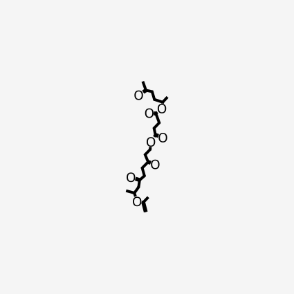 C=C(C)OC(C)CC(=O)CCC(=O)CCOC(=O)CCC(=O)OC(C)CCC(C)=O